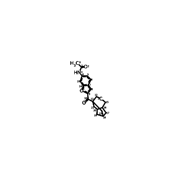 CC(=O)Nc1ccc2cc(C(=O)C34CCCC5CC(CC5C3)C4)oc2c1